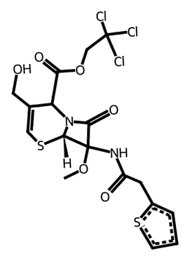 COC1(NC(=O)Cc2cccs2)C(=O)N2C(C(=O)OCC(Cl)(Cl)Cl)C(CO)=CS[C@H]21